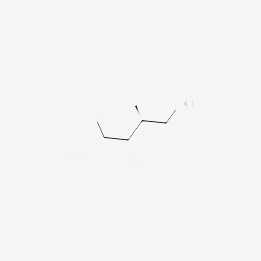 O=[14CH][C@H](O)[C@@H](O)[C@@H](O)CO